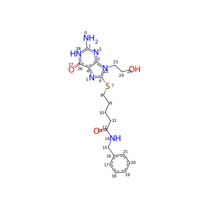 Nc1nc2c(nc(SCCCCC(=O)NCc3ccccc3)n2CCO)c(=O)[nH]1